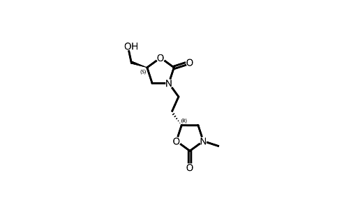 CN1C[C@@H](CCN2C[C@@H](CO)OC2=O)OC1=O